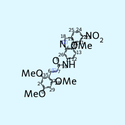 COc1cc(OC)c(/C=C/C(=O)Nc2ccc(OC)c(/N=C\c3ccc([N+](=O)[O-])cc3)c2)c(OC)c1